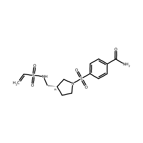 C=CS(=O)(=O)NC[C@H]1CCN(S(=O)(=O)c2ccc(C(N)=O)cc2)C1